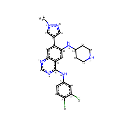 Cn1cc(-c2cc3ncnc(Nc4ccc(F)c(Cl)c4)c3cc2NC2CCNCC2)cn1